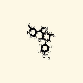 Cc1cc(-c2cnn3c2C(=O)N(c2ccc(C(F)(F)F)cc2)CC3C)ccn1